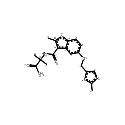 Cc1ncc(COc2ccc3sc(C)c(C(=O)NC(C)(C)C(N)=O)c3c2)s1